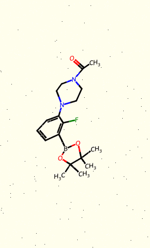 CC(=O)N1CCN(c2cccc(B3OC(C)(C)C(C)(C)O3)c2F)CC1